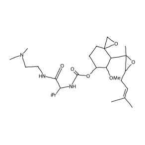 COC1C(OC(=O)NC(C(=O)NCCN(C)C)C(C)C)CCC2(CO2)C1C1(C)OC1CC=C(C)C